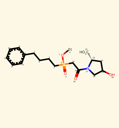 CCOP(=O)(CCCCc1ccccc1)CC(=O)N1CC(O)C[C@H]1C(=O)O